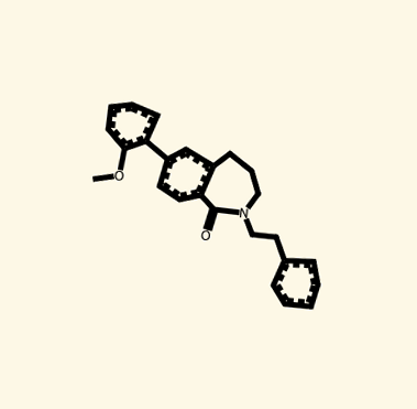 COc1ccccc1-c1ccc2c(c1)CCCN(CCc1ccccc1)C2=O